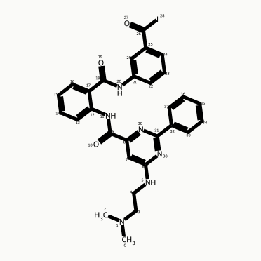 CN(C)CCNc1cc(C(=O)Nc2ccccc2C(=O)Nc2cccc(C(=O)I)c2)nc(-c2ccccc2)n1